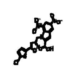 O=C(O)c1cc2cc([N+](=O)[O-])cc([N+](=O)[O-])c2n1Cc1cc(-c2ccc(Cl)s2)on1